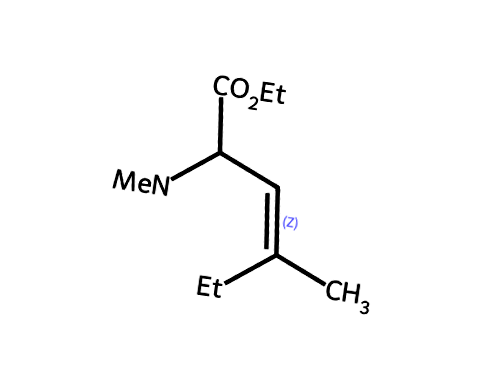 CCOC(=O)C(/C=C(/C)CC)NC